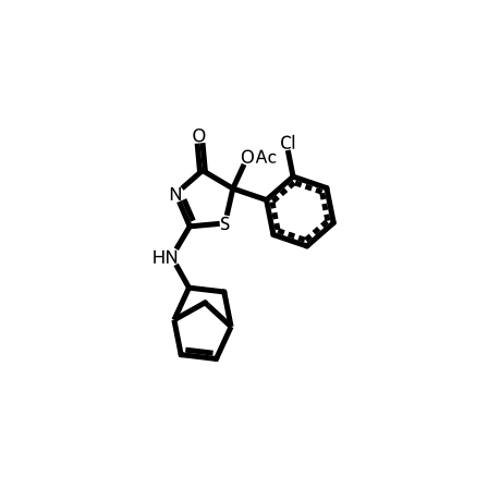 CC(=O)OC1(c2ccccc2Cl)SC(NC2CC3C=CC2C3)=NC1=O